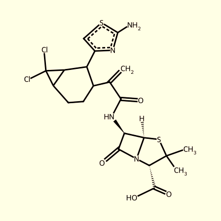 C=C(C(=O)N[C@@H]1C(=O)N2[C@@H]1SC(C)(C)[C@@H]2C(=O)O)C1CCC2C(C1c1csc(N)n1)C2(Cl)Cl